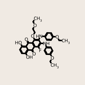 CCOCCOc1c(Nc2ccc(OCC)cc2)c(Nc2ccc(OCC)cc2)c(F)c2c1C(=O)c1c(O)ccc(O)c1C2=O